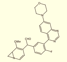 COC1=C(C(C=O)c2ccc(F)c(-c3ncnc4cc(N5CCOCC5)ccc34)c2)C=CN2CC12